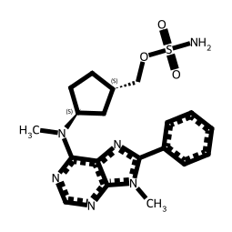 CN(c1ncnc2c1nc(-c1ccccc1)n2C)[C@H]1CC[C@H](COS(N)(=O)=O)C1